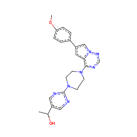 COc1ccc(-c2cc3c(N4CCN(c5ncc(C(C)O)cn5)CC4)ncnn3c2)cc1